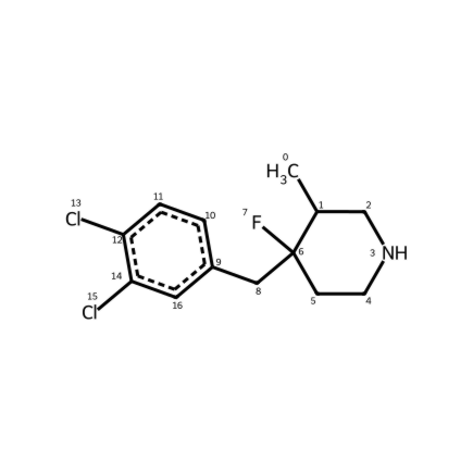 CC1CNCCC1(F)Cc1ccc(Cl)c(Cl)c1